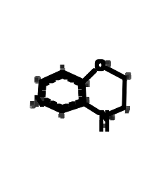 [c]1cc2c(cn1)NCCO2